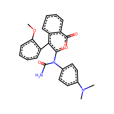 COc1ccccc1-c1c(N(C(N)=O)c2ccc(N(C)C)cc2)oc(=O)c2ccccc12